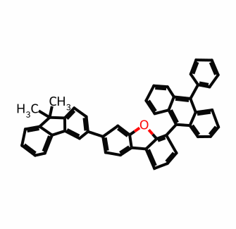 CC1(C)c2ccccc2-c2cc(-c3ccc4c(c3)oc3c(-c5c6ccccc6c(-c6ccccc6)c6ccccc56)cccc34)ccc21